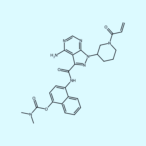 C=CC(=O)N1CCCC(n2nc(C(=O)Nc3ccc(OC(=O)N(C)C)c4ccccc34)c3c(N)ncnc32)C1